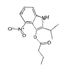 CCCC(=O)Oc1c(C(C)C)[nH]c2cccc([N+](=O)[O-])c12